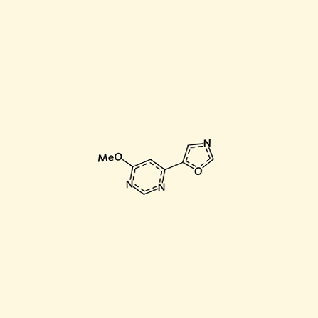 COc1cc(-c2cnco2)ncn1